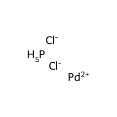 [Cl-].[Cl-].[PH5].[Pd+2]